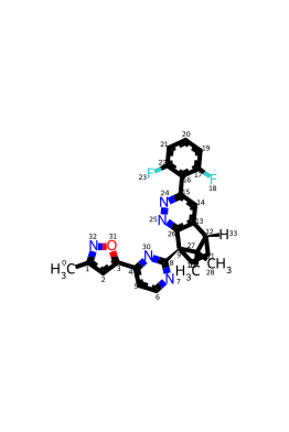 Cc1cc(-c2ccnc([C@@]34CC[C@@H](c5cc(-c6c(F)cccc6F)nnc53)C4(C)C)n2)on1